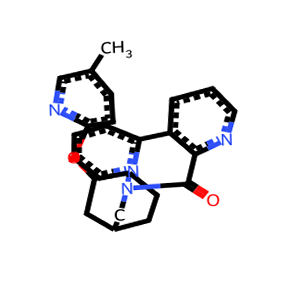 Cc1ccc(OC2CC3CCC2N(C(=O)c2ncccc2-c2ccccn2)C3)nc1